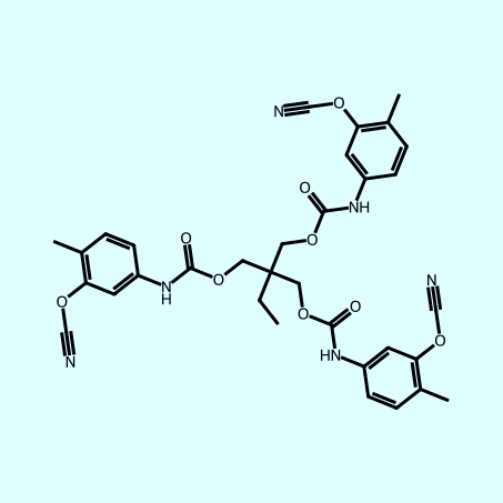 CCC(COC(=O)Nc1ccc(C)c(OC#N)c1)(COC(=O)Nc1ccc(C)c(OC#N)c1)COC(=O)Nc1ccc(C)c(OC#N)c1